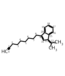 C#CCCCCCCCC1=CC(=C(C)C)c2ccccc21